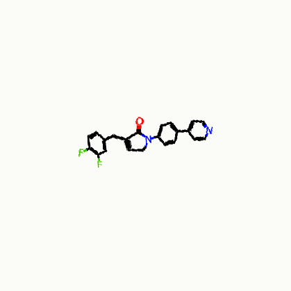 O=C1C(Cc2ccc(F)c(F)c2)=CCN1c1ccc(-c2ccncc2)cc1